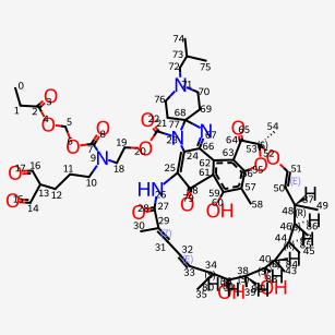 CCC(=O)OCOC(=O)N(CCCC(C=O)C=O)CCOC(=O)N1C2=C3NC(=O)/C(C)=C\C=C\[C@H](C)[C@H](O)[C@@H](C)[C@@H](O)[C@@H](C)[C@H](C)[C@H](C)[C@@H](C)/C=C/O[C@@]4(C)Oc5c(C)c(O)c(c(c5C4=O)C2=NC12CCN(CC(C)C)CC2)C3=O